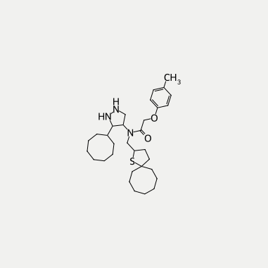 Cc1ccc(OCC(=O)N(CC2CCC3(CCCCCCC3)S2)C2CNNC2C2CCCCCCC2)cc1